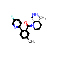 Cc1ccc(-c2ccc(F)cn2)c(C(=O)N2CCC[C@@H](C)[C@H]2CN)c1